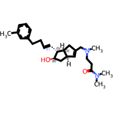 Cc1cccc(CC/C=C/[C@@H]2[C@H]3CC(CN(C)CCC(=O)N(C)C)=C[C@H]3C[C@H]2O)c1